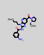 COCCCn1c(NC(=O)c2cccc(N)c2)nc2cc(C(=O)N3CCC[C@@H]3COC)cnc21